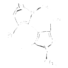 Cn1nc(C#N)c(-c2c(Br)cnn2C)c1Cl